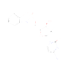 Nc1ccn([C@@H]2O[C@H](COP(N)(=O)Oc3ccccc3)[C@@H](O)C2(F)F)c(=O)n1